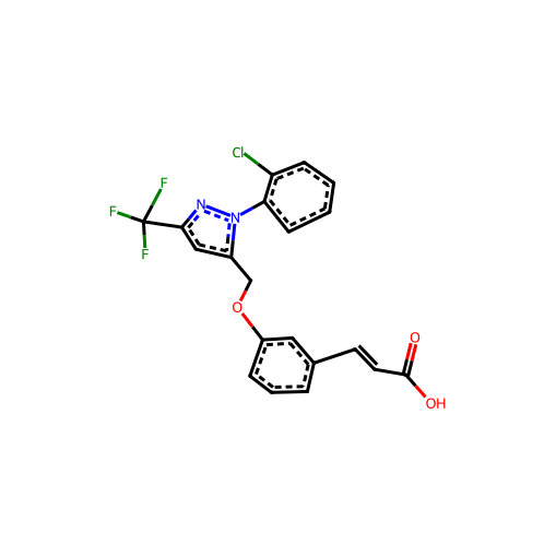 O=C(O)C=Cc1cccc(OCc2cc(C(F)(F)F)nn2-c2ccccc2Cl)c1